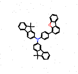 CC1(C)c2ccccc2-c2cc(N(c3ccc(-c4cccc5c4oc4ccccc45)cc3)c3ccc4c(c3)C(C)(C)c3ccccc3-4)ccc21